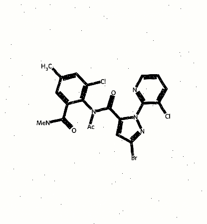 CNC(=O)c1cc(C)cc(Cl)c1N(C(C)=O)C(=O)c1cc(Br)nn1-c1ncccc1Cl